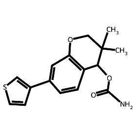 CC1(C)COc2cc(-c3ccsc3)ccc2C1OC(N)=O